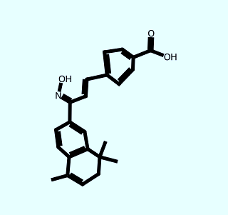 CC1=CCC(C)(C)c2cc(C(C=Cc3ccc(C(=O)O)cc3)=NO)ccc21